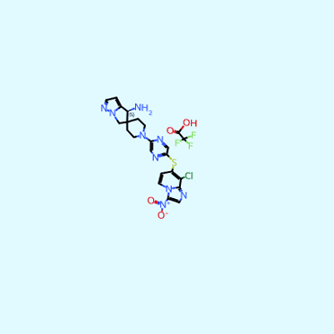 N[C@@H]1c2ccnn2CC12CCN(c1cnc(Sc3ccn4c([N+](=O)[O-])cnc4c3Cl)cn1)CC2.O=C(O)C(F)(F)F